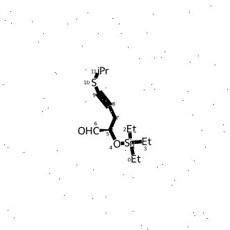 CC[Si](CC)(CC)O[C@@H](C=O)CC#CSC(C)C